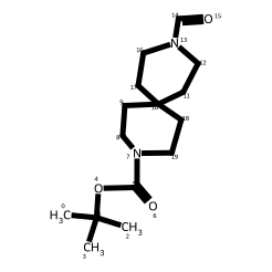 CC(C)(C)OC(=O)N1CCC2(CCN(C=O)CC2)CC1